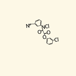 N#Cc1cccc(N(Cl)C(=O)C(=O)Oc2cccc(Cl)c2)c1